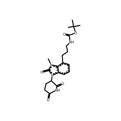 Cn1c(=O)n(C2CCC(=O)NC2=O)c2cccc(CCCNC(=O)OC(C)(C)C)c21